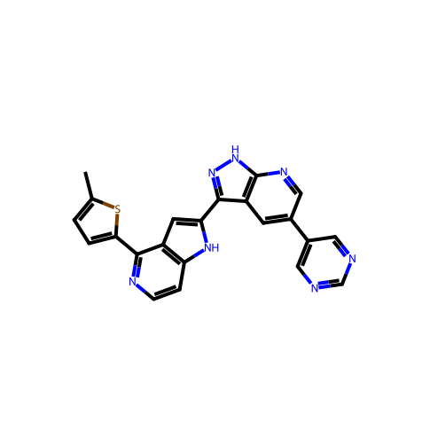 Cc1ccc(-c2nccc3[nH]c(-c4n[nH]c5ncc(-c6cncnc6)cc45)cc23)s1